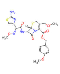 COCC1=C(C(=O)OCc2ccc(OC)cc2)N2C(=O)C(NC(=O)C(=NOC)c3csc(N)n3)[C@@H]2SC1